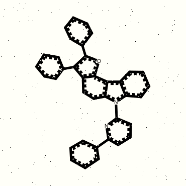 c1ccc(-c2cccc(-n3c4ccccc4c4c5oc(-c6ccccc6)c(-c6ccccc6)c5ccc43)n2)cc1